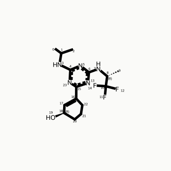 CC(C)Nc1nc(N[C@H](C)C(F)(F)F)nc(C2=C[C@H](O)CCC2)n1